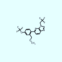 COCc1cc(OC(F)(F)F)ccc1-c1ccc2nnn(CC(F)(F)F)c2n1